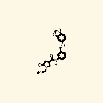 CC(C)CN1CC(C(=O)Nc2cccc(COc3ccc4c(c3)OCO4)c2)CC1=O